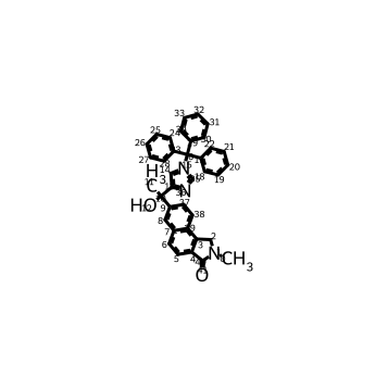 CN1Cc2c(ccc3cc(C(C)(O)c4cn(C(c5ccccc5)(c5ccccc5)c5ccccc5)cn4)ccc23)C1=O